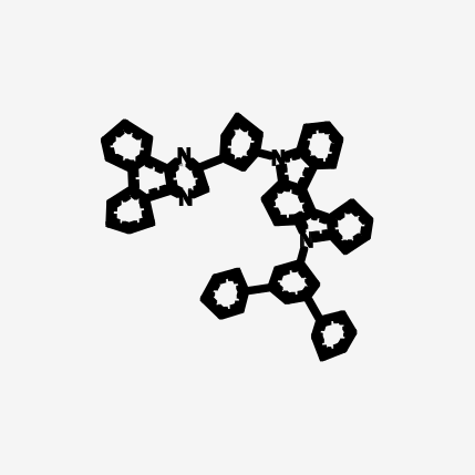 c1ccc(-c2cc(-c3ccccc3)cc(-n3c4ccccc4c4c5c6ccccc6n(-c6cccc(-c7cnc8c9ccccc9c9ccccc9c8n7)c6)c5ccc43)c2)cc1